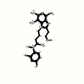 COCCc1nc2c(N)nc(C)c(C)c2n1CCCC(C)[S+]([O-])c1ccc(F)cc1F